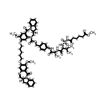 COC(=O)CCCCC(=O)NS(=O)(=O)N[C@H](C(=O)N[C@@H](C)C(=O)Nc1ccc(COC(=O)N2C[C@@H]3Cc4ccccc4N3C(=O)c3cc(OC)c(OCCCCCOc4cc5c(cc4OC)C(=O)N4c6ccccc6C[C@H]4C=N5)cc32)cc1)C(C)C